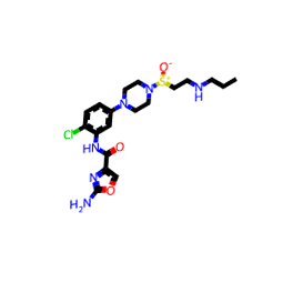 CCCNCC[S+]([O-])N1CCN(c2ccc(Cl)c(NC(=O)c3coc(N)n3)c2)CC1